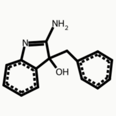 NC1=Nc2ccccc2C1(O)Cc1ccccc1